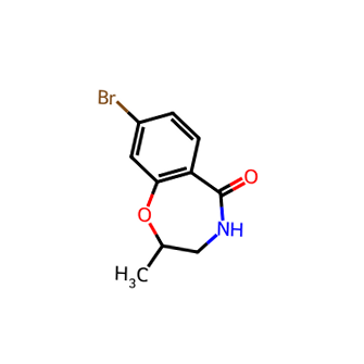 CC1CNC(=O)c2ccc(Br)cc2O1